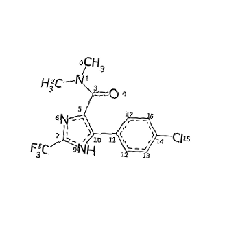 CN(C)C(=O)c1nc(C(F)(F)F)[nH]c1-c1ccc(Cl)cc1